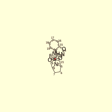 NS(=O)(=O)N1C2CCC1CC(F)(c1noc3ccccc13)C2